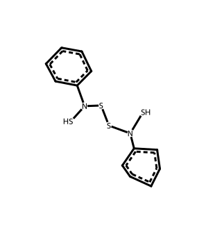 SN(SSN(S)c1ccccc1)c1ccccc1